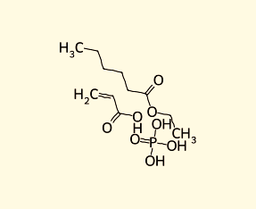 C=CC(=O)O.CCCCCC(=O)OCC.O=P(O)(O)O